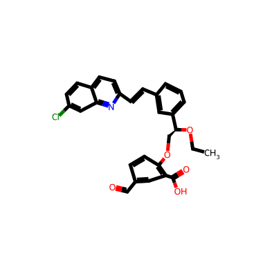 CCO[C@@H](COc1ccc(C=O)cc1C(=O)O)c1cccc(/C=C/c2ccc3ccc(Cl)cc3n2)c1